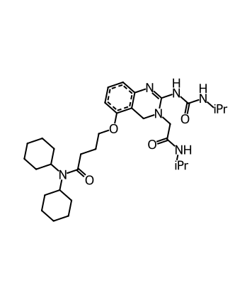 CC(C)NC(=O)CN1Cc2c(cccc2OCCCC(=O)N(C2CCCCC2)C2CCCCC2)N=C1NC(=O)NC(C)C